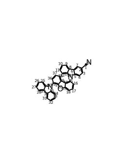 N#Cc1ccc2c(c1)c1ccccc1n2-c1cccc2oc3c(-n4c5ccccc5c5ccccc54)cccc3c12